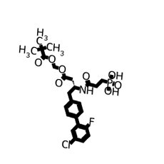 CC(C)(C)C(=O)OCOC(=O)C[C@@H](Cc1ccc(-c2cc(Cl)ccc2F)cc1)NC(=O)CCP(=O)(O)O